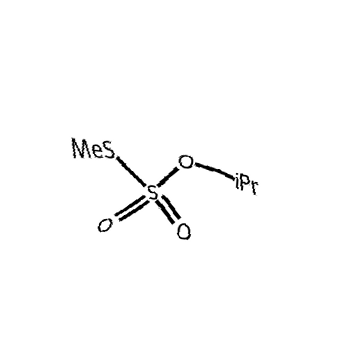 CSS(=O)(=O)OC(C)C